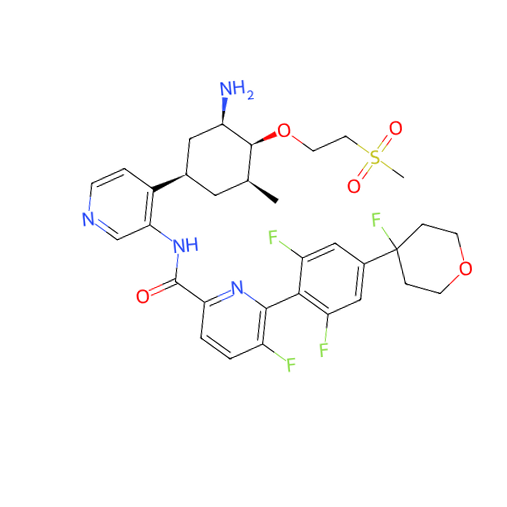 C[C@H]1C[C@@H](c2ccncc2NC(=O)c2ccc(F)c(-c3c(F)cc(C4(F)CCOCC4)cc3F)n2)C[C@@H](N)[C@H]1OCCS(C)(=O)=O